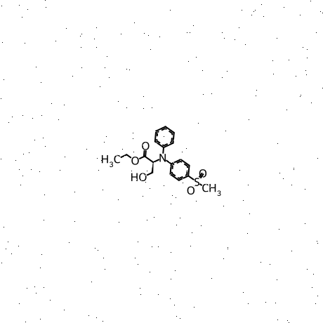 CCOC(=O)[C@H](CO)N(c1ccccc1)c1ccc(S(C)(=O)=O)cc1